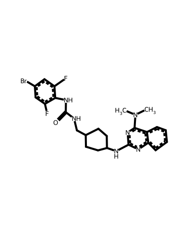 CN(C)c1nc(NC2CCC(CNC(=O)Nc3c(F)cc(Br)cc3F)CC2)nc2ccccc12